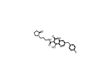 O=C(NCCCN1CCCC1=O)c1c(O)c2ncc(Cc3ccc(F)cc3)cc2[nH]c1=O